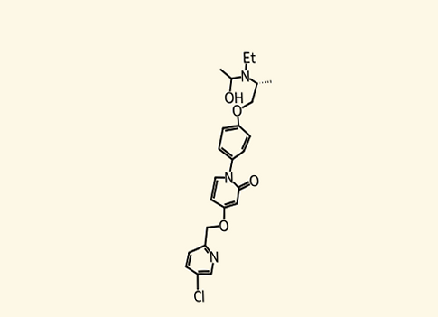 CCN(C(C)O)[C@H](C)COc1ccc(-n2ccc(OCc3ccc(Cl)cn3)cc2=O)cc1